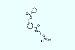 O=C(NCCO[N+](=O)O)c1ccc[n+](COC(=O)N2CCCC2)c1